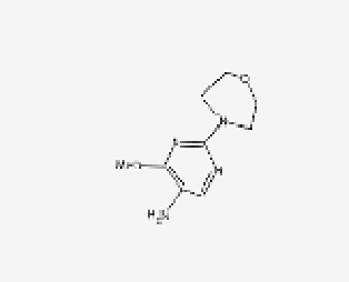 COc1nc(N2CCOCC2)ncc1N